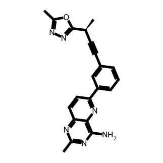 Cc1nc(N)c2nc(-c3cccc(C#C[C@H](C)c4nnc(C)o4)c3)ccc2n1